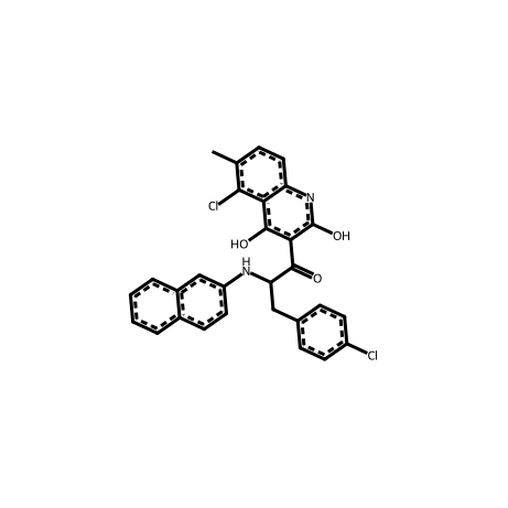 Cc1ccc2nc(O)c(C(=O)C(Cc3ccc(Cl)cc3)Nc3ccc4ccccc4c3)c(O)c2c1Cl